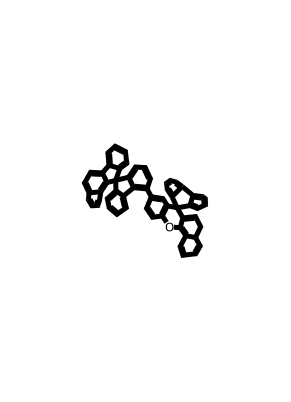 C1=CC2=C3Oc4ccc(-c5cccc6c5-c5ccccc5C65c6ccccc6-c6ccc7ccccc7c65)cc4C4(C3=CCC2C=C1)c1ccccc1-c1ccccc14